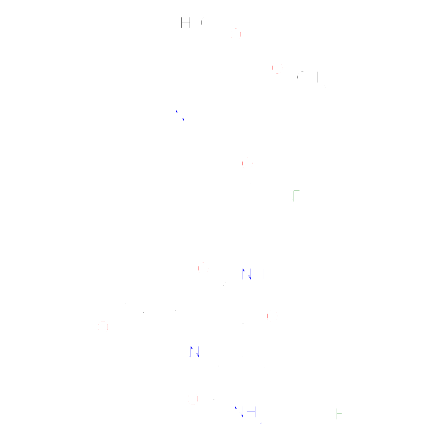 COc1cc2nccc(Oc3ccc(NC(=O)c4c(C5CC5)n(CC5CCOCC5)c(C(N)=O)c(-c5ccc(F)cc5)c4=O)cc3F)c2cc1OC